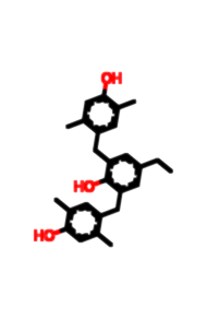 CCc1cc(Cc2cc(C)c(O)cc2C)c(O)c(Cc2cc(C)c(O)cc2C)c1